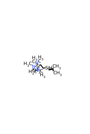 CC(C)=C[SiH2]CC[Si](N(C)C)(N(C)C)N(C)C